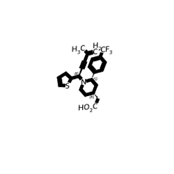 C=C(C)C#C[C@H](C1CC=CS1)N1CC[C@@H](CC(=O)O)C[C@H]1c1ccc(C(F)(F)F)cc1